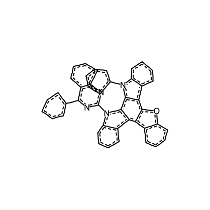 c1ccc(-c2nc(-n3c4ccccc4c4c5c6ccccc6oc5c5c6ccccc6n(-c6ccccc6)c5c43)nc3ccccc23)cc1